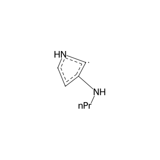 CCCNc1[c][nH]cc1